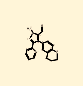 Cn1nc(-c2ccccn2)c(-c2ccc3c(c2)CCCO3)c1C=O